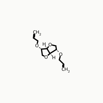 C=CCO[C@H]1CO[C@H]2[C@@H]1OC[C@@H]2OCC=C